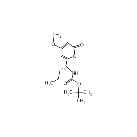 CCC[C@@H](NC(=O)OC(C)(C)C)c1cc(OC)cc(=O)o1